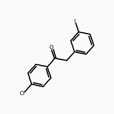 O=C(Cc1cccc(I)c1)c1ccc(Cl)cc1